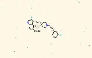 COc1ccc2ncc(F)c(CCCC3(C(=O)O)CCN(CC=Cc4cccc(F)c4)CC3)c2c1